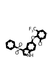 O=S(=O)(c1ccccc1)c1c[nH]c2ccc(Oc3c(Cl)c[c]cc3C(F)(F)F)cc12